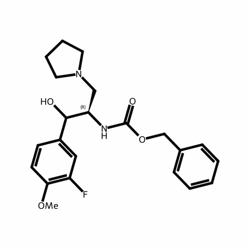 COc1ccc(C(O)[C@@H](CN2CCCC2)NC(=O)OCc2ccccc2)cc1F